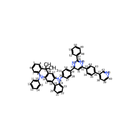 CC1(C)c2ccccc2N(c2ccccc2)c2cc3c4ccccc4n(-c4ccc(-c5cc(-c6ccc(-c7cccnc7)cc6)nc(-c6ccccc6)n5)cc4)c3cc21